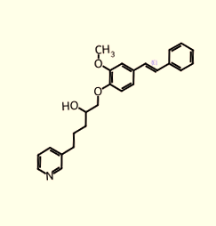 COc1cc(/C=C/c2ccccc2)ccc1OCC(O)CCCc1cccnc1